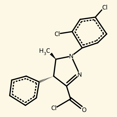 C[C@@H]1[C@@H](c2ccccc2)C(C(=O)Cl)=NN1c1ccc(Cl)cc1Cl